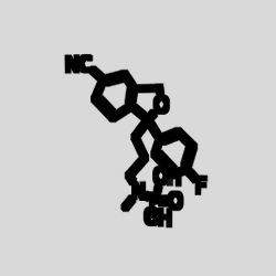 CN(CCCC1(c2ccc(F)cc2)OCc2cc(C#N)ccc21)P(=O)(O)O